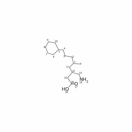 CC(CCCC1CCCCC1)CC(CN)CC(=O)O